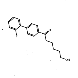 O=C(CCCCCO)c1ccc(-c2ccccc2F)cc1